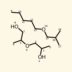 CC(O)COC(C)CO.CCCCCOCC(C)C